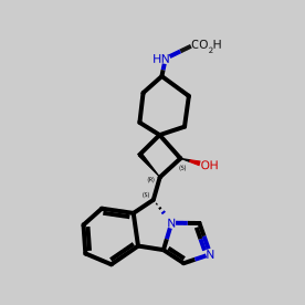 O=C(O)NC1CCC2(CC1)C[C@H]([C@H]1c3ccccc3-c3cncn31)[C@@H]2O